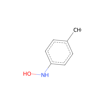 [CH]c1ccc(NO)cc1